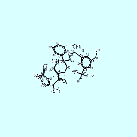 CCC(=O)[C@]1(n2cn[nH]c2=O)CC[C@@](CO[C@H](C)c2cc(CF)cc(C(F)(F)F)c2)(c2ccccc2)NC1